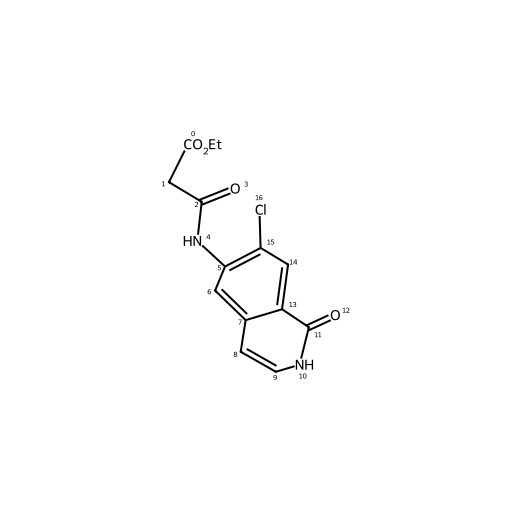 CCOC(=O)CC(=O)Nc1cc2cc[nH]c(=O)c2cc1Cl